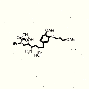 COCCCOc1cc(C[C@@H](C[C@H](N)[C@@H](O)CN(C(C)C)S(C)(=O)=O)C(C)C)ccc1OC.Cl